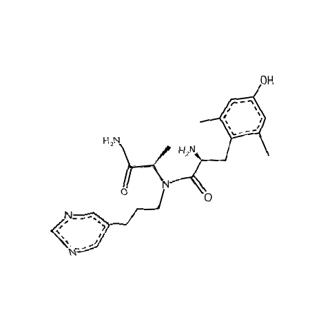 Cc1cc(O)cc(C)c1C[C@H](N)C(=O)N(CCCc1cncnc1)[C@H](C)C(N)=O